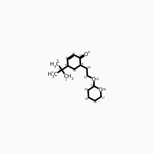 CC(C)(C)C1C=CC(=O)C(CCOC2CCCCO2)C1